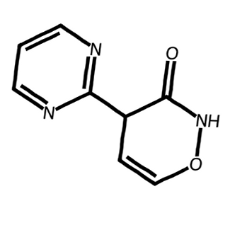 O=C1NOC=CC1c1ncccn1